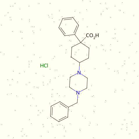 Cl.O=C(O)C1(c2ccccc2)CCC(N2CCN(Cc3ccccc3)CC2)CC1